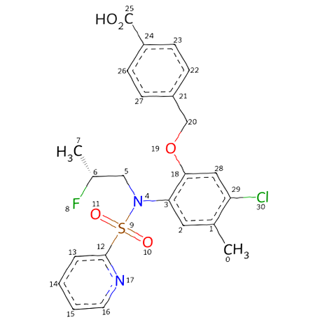 Cc1cc(N(C[C@@H](C)F)S(=O)(=O)c2ccccn2)c(OCc2ccc(C(=O)O)cc2)cc1Cl